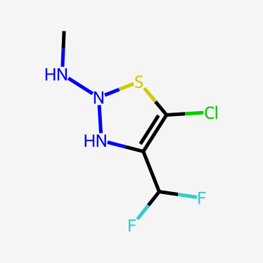 CNN1NC(C(F)F)=C(Cl)S1